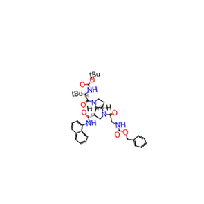 CC(C)(C)OC(=O)N[C@H](C(=O)N1CC[C@@H]2[C@H]1[C@@H](C(=O)Nc1cccc3ccccc13)CN2C(=O)CNC(=O)OCc1ccccc1)C(C)(C)C